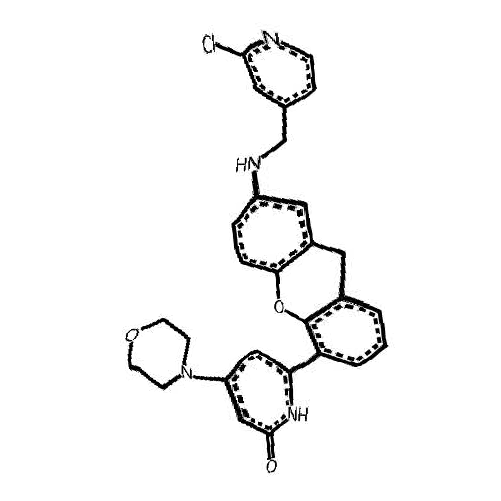 O=c1cc(N2CCOCC2)cc(-c2cccc3c2Oc2ccc(NCc4ccnc(Cl)c4)cc2C3)[nH]1